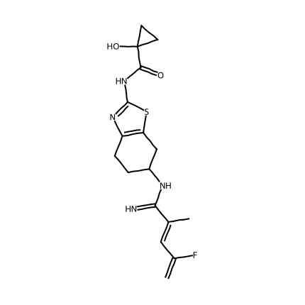 C=C(F)/C=C(\C)C(=N)NC1CCc2nc(NC(=O)C3(O)CC3)sc2C1